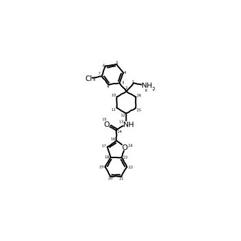 NCC1(c2cccc(Cl)c2)CCC(NC(=O)c2cc3ccccc3o2)CC1